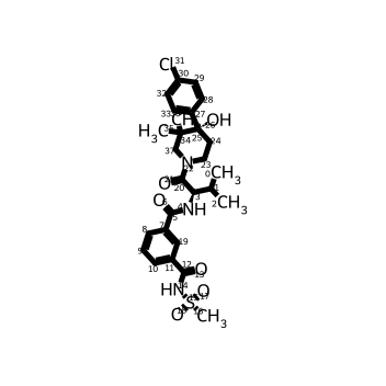 CC(C)[C@@H](NC(=O)c1cccc(C(=O)NS(C)(=O)=O)c1)C(=O)N1CC[C@](O)(c2ccc(Cl)cc2)C(C)(C)C1